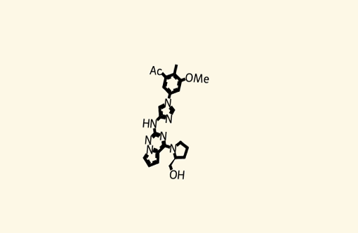 COc1cc(-n2cnc(Nc3nc(N4CCC[C@H]4CO)c4cccn4n3)c2)cc(C(C)=O)c1C